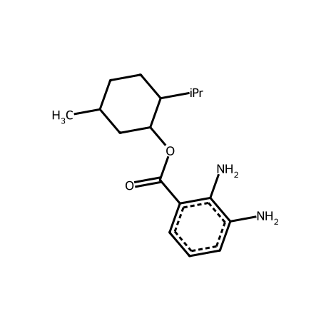 CC1CCC(C(C)C)C(OC(=O)c2cccc(N)c2N)C1